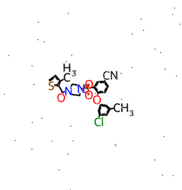 Cc1cc(Cl)cc(Oc2ccc(C#N)cc2S(=O)(=O)N2CCN(C(=O)c3sccc3C)CC2)c1